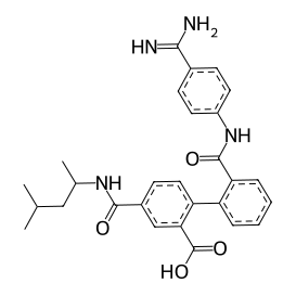 CC(C)CC(C)NC(=O)c1ccc(-c2ccccc2C(=O)Nc2ccc(C(=N)N)cc2)c(C(=O)O)c1